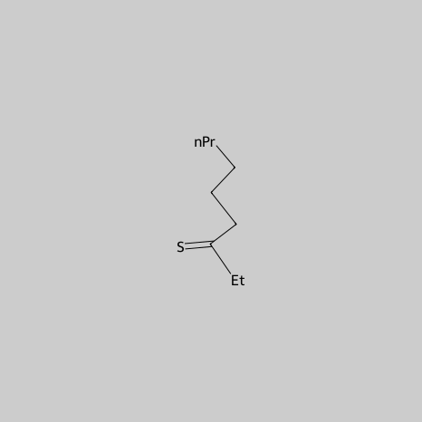 CCCCCCC(=S)CC